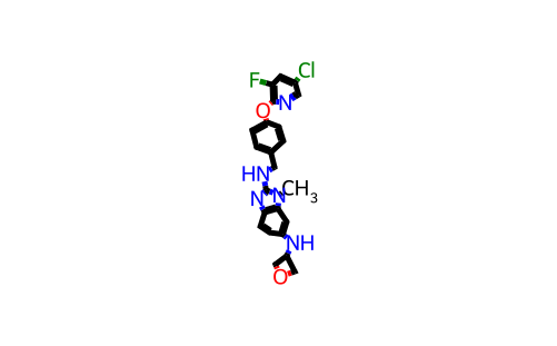 Cn1c(NCc2ccc(Oc3ncc(Cl)cc3F)cc2)nc2ccc(NC3COC3)cc21